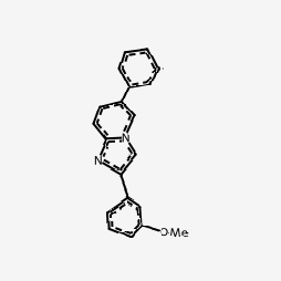 COc1cccc(-c2cn3cc(-c4c[c]ccc4)ccc3n2)c1